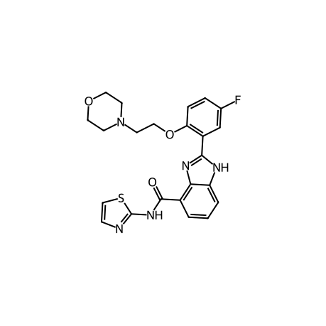 O=C(Nc1nccs1)c1cccc2[nH]c(-c3cc(F)ccc3OCCN3CCOCC3)nc12